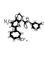 Cc1cncc(NC(=O)N2CCOc3c(C)cc(-c4cccc(C(F)(F)F)c4)nc32)c1